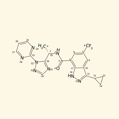 C[C@H](NC(=O)c1cc(C(F)(F)F)cc2c(C3CC3)n[nH]c12)c1ncnn1-c1ncccn1